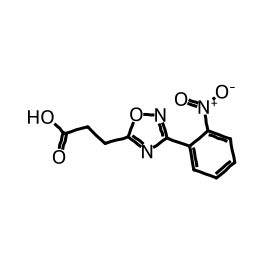 O=C(O)CCc1nc(-c2ccccc2[N+](=O)[O-])no1